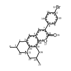 CC1Cc2cc3cc(-c4ccc(Br)cc4)c(=O)oc3c3c2N(C1)CC(C)C3